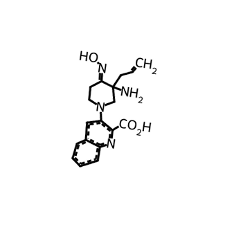 C=CCC1(N)CN(c2cc3ccccc3nc2C(=O)O)CCC1=NO